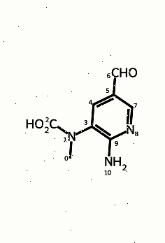 CN(C(=O)O)c1cc(C=O)cnc1N